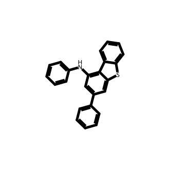 c1ccc(Nc2cc(-c3ccccc3)cc3sc4ccccc4c23)cc1